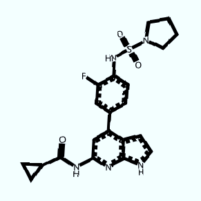 O=C(Nc1cc(-c2ccc(NS(=O)(=O)N3CCCC3)c(F)c2)c2cc[nH]c2n1)C1CC1